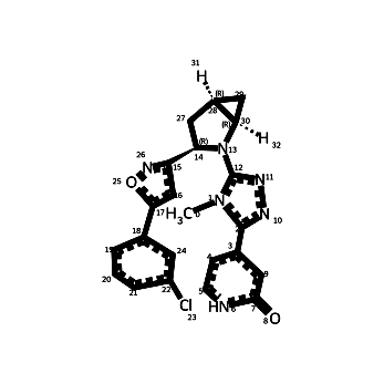 Cn1c(-c2cc[nH]c(=O)c2)nnc1N1[C@@H](c2cc(-c3cccc(Cl)c3)on2)C[C@H]2C[C@H]21